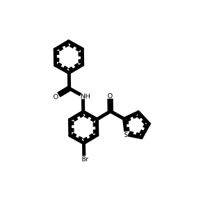 O=C(Nc1ccc(Br)cc1C(=O)c1cccs1)c1ccccc1